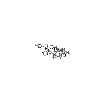 C[C@H]1[C@@H](NC(=Nc2ccc3c(=O)n(CCc4ccc(F)cc4)c(-c4cnccn4)nc3c2)N2CC(=O)N[C@@H](C)C2)C[C@@H]2C[C@@H]1C2(C)C